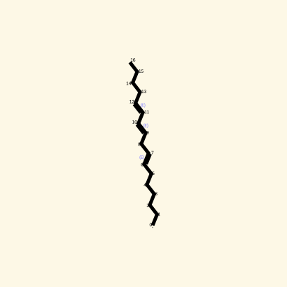 [CH2]CCCCC/C=C/C/C=C/C=C/CCCC